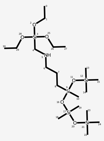 CCO[Si](CNCCC[Si](C)(O[Si](C)(C)C)O[Si](C)(C)O[Si](C)(C)C)(OCC)OCC